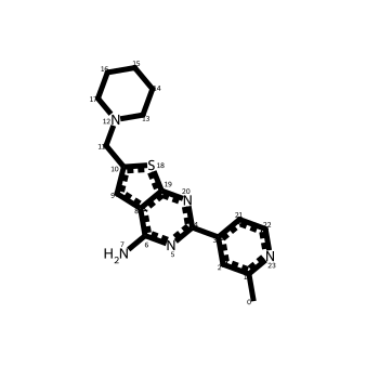 Cc1cc(-c2nc(N)c3cc(CN4CCCCC4)sc3n2)ccn1